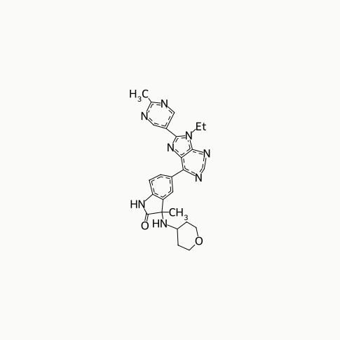 CCn1c(-c2cnc(C)nc2)nc2c(-c3ccc4c(c3)C(C)(NC3CCOCC3)C(=O)N4)ncnc21